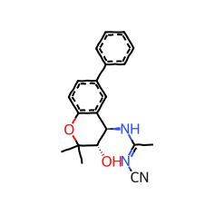 CC(=NC#N)N[C@@H]1c2cc(-c3ccccc3)ccc2OC(C)(C)[C@H]1O